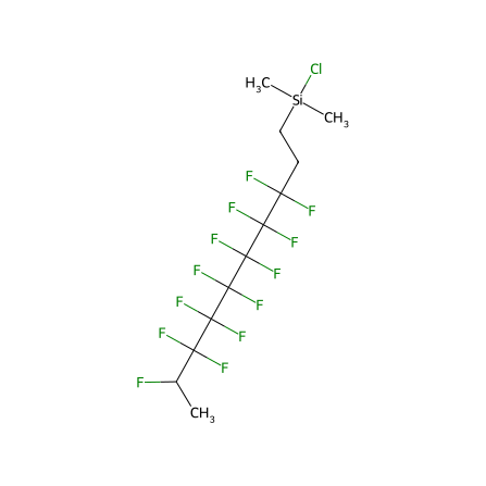 CC(F)C(F)(F)C(F)(F)C(F)(F)C(F)(F)C(F)(F)C(F)(F)CC[Si](C)(C)Cl